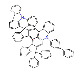 c1ccc(-c2ccc(N(c3ccc4c(c3)C(c3ccccc3)(c3ccccc3)c3ccccc3-4)c3ccccc3-c3ccc4c(c3)C3(c5ccccc5-4)c4ccccc4-n4c5ccccc5c5cccc3c54)cc2)cc1